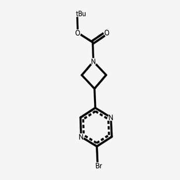 CC(C)(C)OC(=O)N1CC(c2cnc(Br)cn2)C1